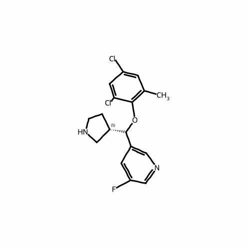 Cc1cc(Cl)cc(Cl)c1OC(c1cncc(F)c1)[C@H]1CCNC1